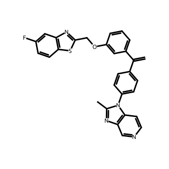 C=C(c1ccc(-n2c(C)nc3cnccc32)cc1)c1cccc(OCc2nc3cc(F)ccc3s2)c1